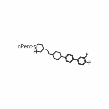 CCCCC[Si@H]1CC[C@H](CCC2CCC(c3ccc(-c4ccc(F)c(F)c4)cc3)CC2)CC1